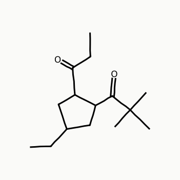 CCC(=O)C1CC(CC)CC1C(=O)C(C)(C)C